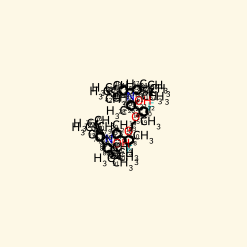 Cc1cc(-c2cc(F)cc(C)c2OCCCOc2c(C)cc(F)cc2-c2cc(C)cc(-n3c4cc([Si](C)(C(C)C)C(C)C)ccc4c4ccc([Si](C)(C(C)C)C(C)C)cc43)c2O)c(O)c(-n2c3cc([Si](C)(C(C)C)C(C)C)ccc3c3ccc([Si](C)(C(C)C)C(C)C)cc32)c1